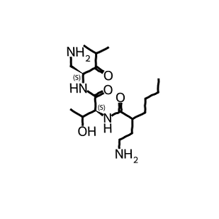 CCCCC(CCN)C(=O)N[C@H](C(=O)N[C@@H](CN)C(=O)C(C)C)C(C)O